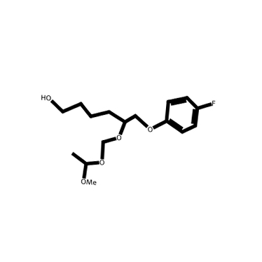 COC(C)OCOC(CCCCO)COc1ccc(F)cc1